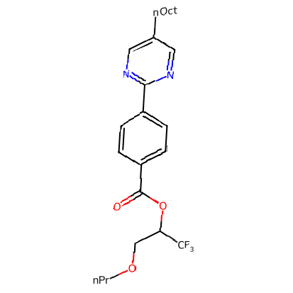 CCCCCCCCc1cnc(-c2ccc(C(=O)OC(COCCC)C(F)(F)F)cc2)nc1